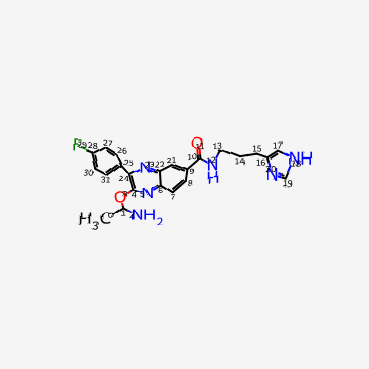 CC(N)Oc1nc2ccc(C(=O)NCCCc3c[nH]cn3)cc2nc1-c1ccc(F)cc1